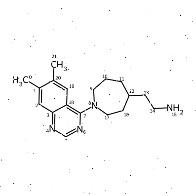 Cc1cc2ncnc(N3CCCC(CCN)CC3)c2cc1C